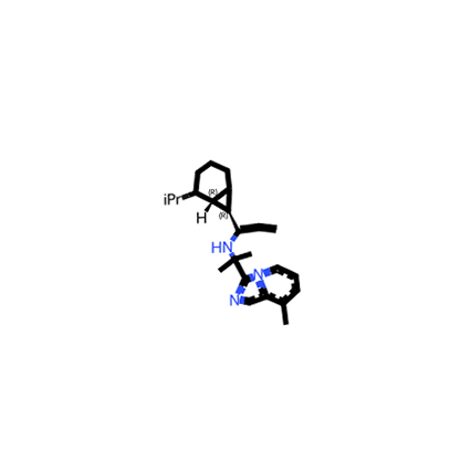 C=C=C(NC(C)(C)c1ncc2c(C)cccn12)[C@@H]1C2CCCC(C(C)C)[C@H]21